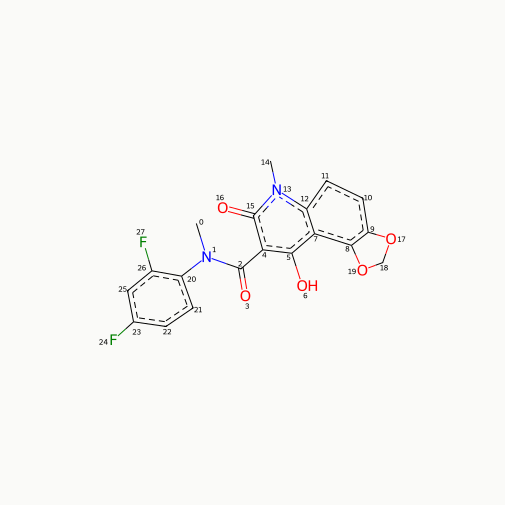 CN(C(=O)c1c(O)c2c3c(ccc2n(C)c1=O)OCO3)c1ccc(F)cc1F